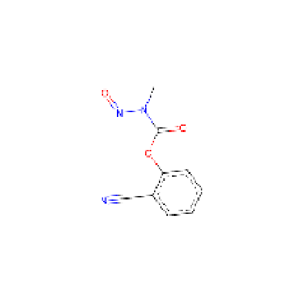 CN(N=O)C(=O)Oc1ccccc1C#N